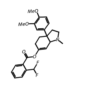 COc1ccc(C23CCC(OC(=O)c4ccccc4C(F)F)=CC2N(C)CC3)cc1OC